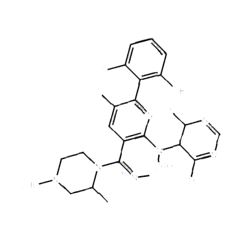 CCC1=NC=NC(CC)C1N(C=O)c1nc(-c2c(O)cccc2F)c(F)cc1/C(=N\C)N1CCN(C=O)CC1C